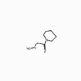 N#CSCC(=O)N1CCCCC1